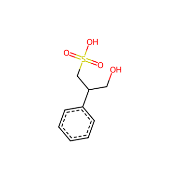 O=S(=O)(O)CC(CO)c1ccccc1